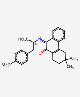 COc1ccc(C[C@H](/N=C2\C(=O)C3=C(CC(C)(C)CC3)c3ccccc32)C(=O)O)cc1